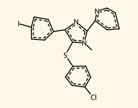 Cn1c(-c2ccccn2)nc(-c2ccc(I)cc2)c1Sc1ccc(Cl)cc1